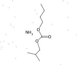 CCCCOC(=O)OCC(C)C.N